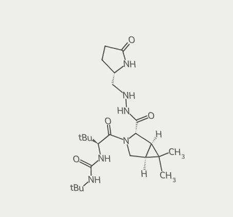 CC(C)(C)NC(=O)N[C@H](C(=O)N1C[C@H]2[C@@H]([C@H]1C(=O)NNC[C@@H]1CCC(=O)N1)C2(C)C)C(C)(C)C